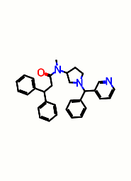 CN(C(=O)CC(c1ccccc1)c1ccccc1)C1CCN(C(c2ccccc2)c2cccnc2)C1